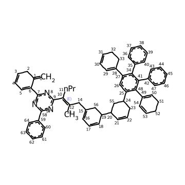 C=C1CC=CC=C1c1nc(/C(CCC)=C(\C)CC2=CC=CC(C3C=CCC(c4cc(C5=CC=CCC5)c(-c5ccccc5)c(-c5ccccc5)c4C4=CCCC=C4)C3)C2)nc(-c2ccccc2)n1